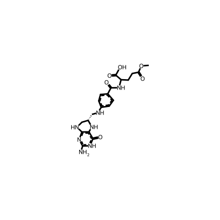 COC(=O)CCC(NC(=O)c1ccc(NC[C@H]2CNc3nc(N)[nH]c(=O)c3N2)cc1)C(=O)O